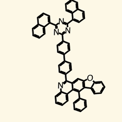 c1ccc(-c2c3c(cc4c(-c5ccc(-c6ccc(-c7nc(-c8cccc9ccccc89)nc(-c8cccc9ccccc89)n7)cc6)cc5)nc5ccccc5c24)oc2ccccc23)cc1